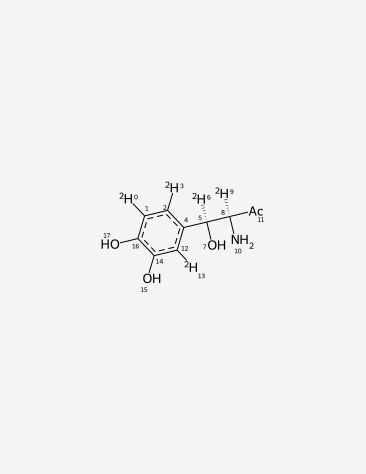 [2H]c1c([2H])c([C@]([2H])(O)[C@]([2H])(N)C(C)=O)c([2H])c(O)c1O